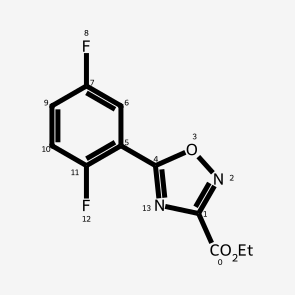 CCOC(=O)c1noc(-c2cc(F)ccc2F)n1